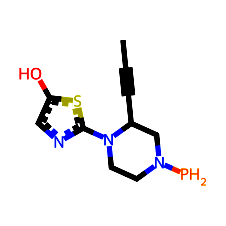 CC#CC1CN(P)CCN1c1ncc(O)s1